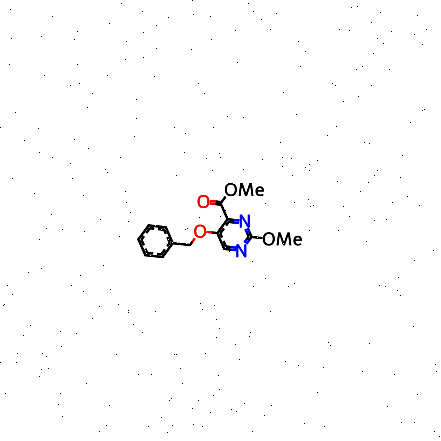 COC(=O)c1nc(OC)ncc1OCc1ccccc1